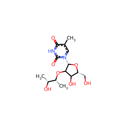 Cc1cn([C@@H]2O[C@H](CO)C(O)C2O[C@H](C)[C@@H](C)O)c(=O)[nH]c1=O